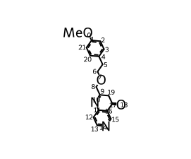 COc1ccc(CCOCC2=Nc3ccncc3C(=O)C2)cc1